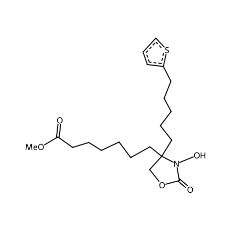 COC(=O)CCCCCCC1(CCCCCc2cccs2)COC(=O)N1O